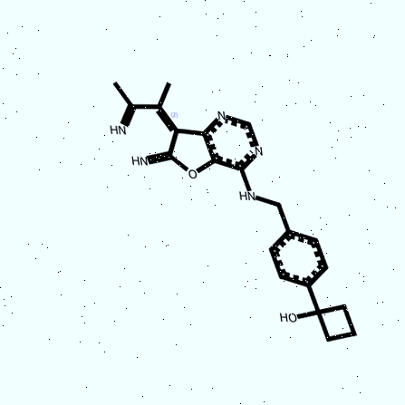 CC(=N)/C(C)=C1\C(=N)Oc2c(NCc3ccc(C4(O)CCC4)cc3)ncnc21